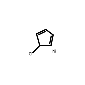 ClC1C=CC=C1.[Ni]